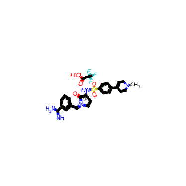 CN1C=CC(c2ccc(S(=O)(=O)N[C@H]3CCN(Cc4cccc(C(=N)N)c4)C3=O)cc2)=CC1.O=C(O)C(F)(F)F